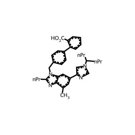 CCCc1nc2c(C)cc(-c3cn(C(CCC)CCC)cn3)cc2n1Cc1ccc(-c2ccccc2C(=O)O)cc1